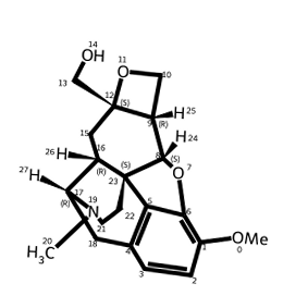 COc1ccc2c3c1O[C@H]1[C@H]4CO[C@@]4(CO)C[C@H]4[C@@H](C2)N(C)CC[C@@]341